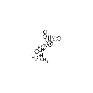 CCN(CC)CC(c1ccccc1F)N1CCCN(C(=O)[C@@H](Cc2ccc(Cl)cc2)NC(=O)[C@H]2Cc3ccccc3CN2)CC1